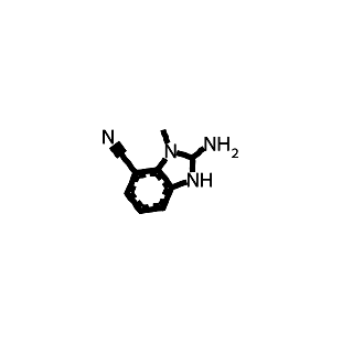 CN1c2c(C#N)cccc2NC1N